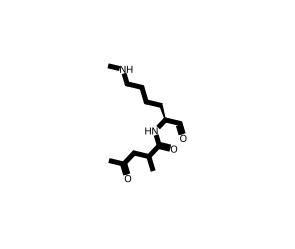 CNCCCC[C@@H](C=O)NC(=O)C(C)CC(C)=O